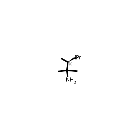 CC(C)[C@H](C)C(C)(C)N